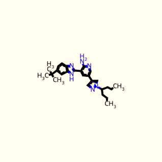 CCCC(CCC)n1cc(-c2cnc(N)c(-c3nc4ccc(C(C)(C)C)cc4[nH]3)c2)cn1